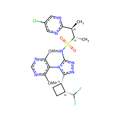 COc1ncnc(OC)c1-n1c(NS(=O)(=O)[C@@H](C)[C@H](C)c2ncc(Cl)cn2)nnc1[C@H]1CC[C@H]1C(F)F